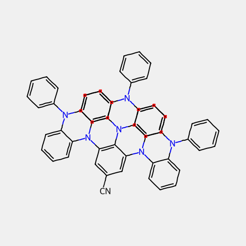 N#Cc1cc(N2c3ccccc3N(c3ccccc3)c3ccccc32)c(N2c3ccccc3N(c3ccccc3)c3ccccc32)c(N2c3ccccc3N(c3ccccc3)c3ccccc32)c1